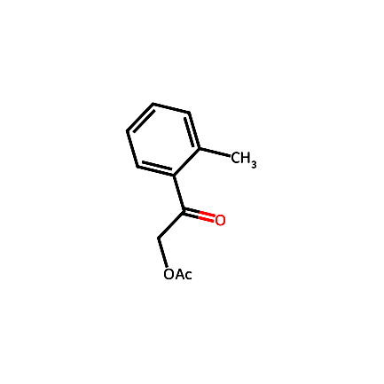 CC(=O)OCC(=O)c1ccccc1C